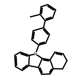 Cc1ccccc1-c1ccc(-n2c3ccccc3c3ccc4c(c32)C=CCC4)cc1